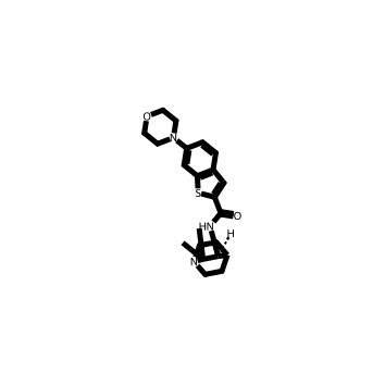 CC1(C)[C@@H](NC(=O)c2cc3ccc(N4CCOCC4)cc3s2)C2CCN1CC2